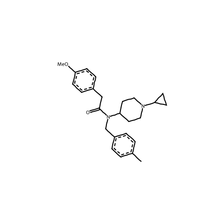 COc1ccc(CC(=O)N(Cc2ccc(C)cc2)C2CCN(C3CC3)CC2)cc1